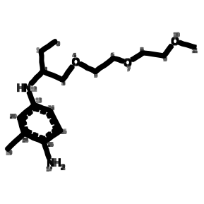 CCC(COCCOCCOC)Nc1ccc(N)c(C)c1